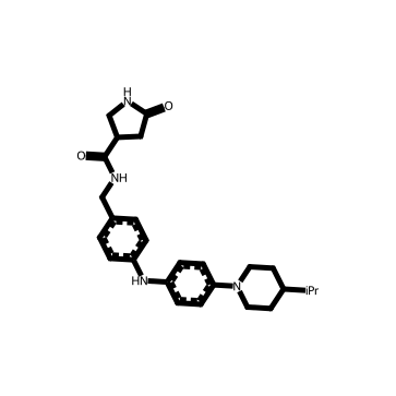 CC(C)C1CCN(c2ccc(Nc3ccc(CNC(=O)C4CNC(=O)C4)cc3)cc2)CC1